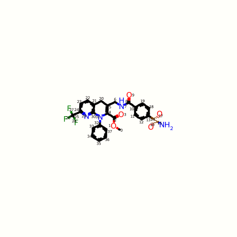 COC(=O)C1=C(CNC(=O)c2ccc(S(N)(=O)=O)cc2)Cc2ccc(C(F)(F)F)nc2N1c1ccccc1